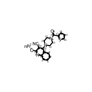 CCCOc1nc2ccccc2c(N2CCN(C(=O)c3cccs3)CC2)c1C#N